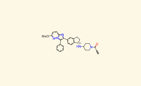 C#CC(=O)N1CCC(N[C@H]2CCc3cc(-c4nc5ccc(OC)nn5c4-c4ccccc4)ccc32)CC1